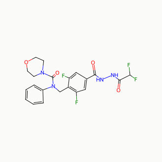 O=C(NNC(=O)C(F)F)c1cc(F)c(CN(C(=O)N2CCOCC2)c2ccccc2)c(F)c1